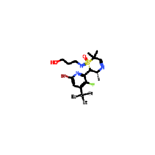 CC[Si](CC)(CC)c1cc(Br)nc(C2[C@@H](C)N=CC(C)(C)[S@]2(=O)=NCCCO)c1F